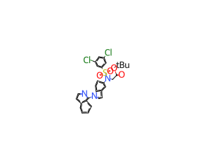 CC(C)(C)OC(=O)CN(c1ccc2c(ccn2-c2nccc3ccccc23)c1)S(=O)(=O)c1cc(Cl)cc(Cl)c1